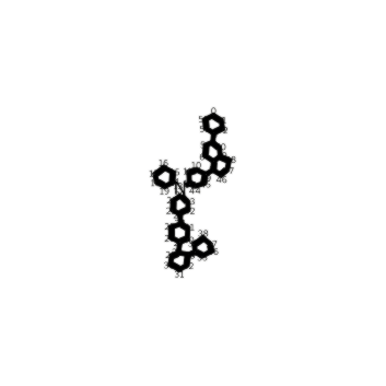 c1ccc(-c2ccc3c(-c4ccc(N(c5ccccc5)c5ccc(-c6ccc(-c7ccccc7-c7ccccc7)cc6)cc5)cc4)cccc3c2)cc1